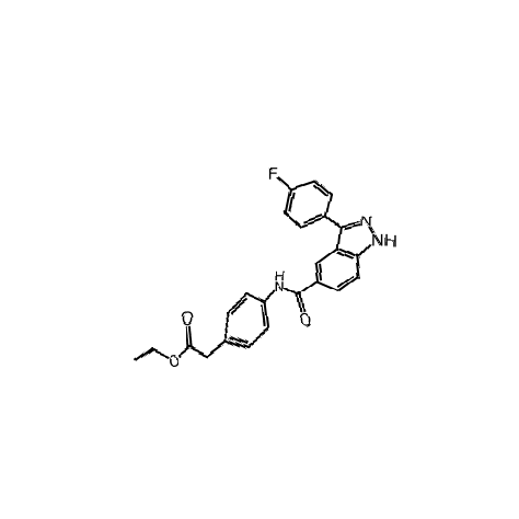 CCOC(=O)Cc1ccc(NC(=O)c2ccc3[nH]nc(-c4ccc(F)cc4)c3c2)cc1